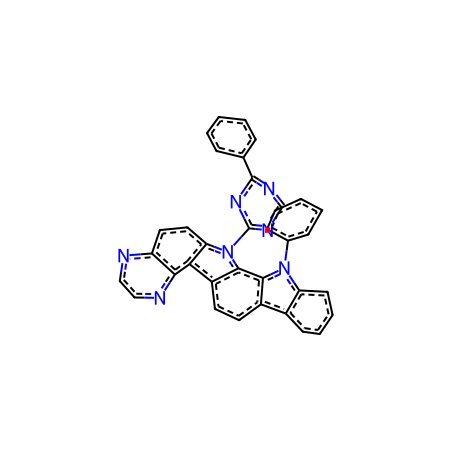 c1ccc(-c2ncnc(-n3c4ccc5nccnc5c4c4ccc5c6ccccc6n(-c6ccccc6)c5c43)n2)cc1